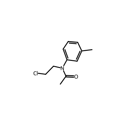 CC(=O)N(CCCl)c1cccc(C)c1